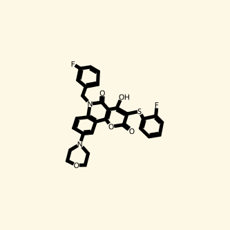 O=c1oc2c(c(O)c1Sc1ccccc1F)c(=O)n(Cc1cccc(F)c1)c1ccc(N3CCOCC3)cc21